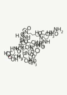 CCCN(C(=O)[C@@H](NC(=O)[C@@H](C(C)C)N(C)C(=O)OCc1ccc(NC(=O)CN[C@H](CCCNC(N)=O)[C@@H](NC(=O)CCCCCN2C(=O)C=CC2=O)C(C)C)cc1)[C@@H](C)CC)[C@H](C[C@@H](OC(=O)NC)c1nc(C(=O)N[C@@H](Cc2ccccc2)CC(C)(C)C(=O)O)cs1)C(C)C